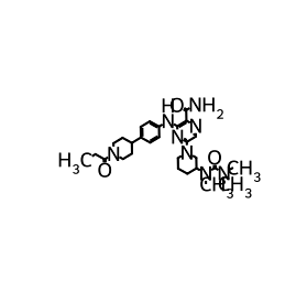 CCC(=O)N1CCC(c2ccc(Nc3nc(N4CCCC(N(C)C(=O)N(C)C)C4)cnc3C(N)=O)cc2)CC1